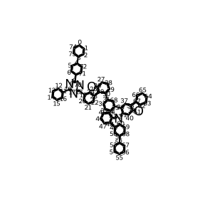 c1ccc(-c2ccc(-c3nc(-c4ccccc4)nc(-c4cccc5c4oc4cccc(-c6cccc(-c7cc8c(cc7-n7c9ccccc9c9cc(-c%10ccccc%10)ccc97)oc7ccccc78)c6)c45)n3)cc2)cc1